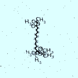 CC(C)OC(=O)CCCCCCCCCCC(C(=O)OC(C)C)C(C)C